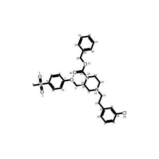 CS(=O)(=O)c1ccc(OC[C@@H]2CN(CCc3cccc(Cl)c3)CCN2C(=O)OCc2ccccc2)cc1